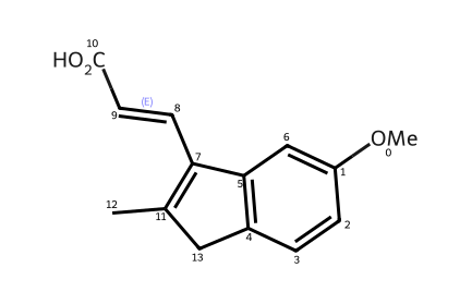 COc1ccc2c(c1)C(/C=C/C(=O)O)=C(C)C2